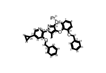 Cc1c(Oc2c(F)cccc2OCc2ccccc2)c(OC(C)C)nn1-c1ncc(C2CC2)cc1OCc1ccccc1